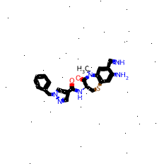 CN1C(=O)[C@@H](NC(=O)c2cnn(Cc3ccccc3)c2)CSc2cc(N)c(C=N)cc21